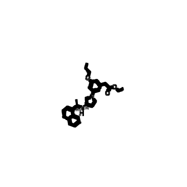 CCCOc1cc(CC(=O)OCC)cc(N2CC[C@H](N[C@H](C)c3cccc4ccccc34)C2)c1